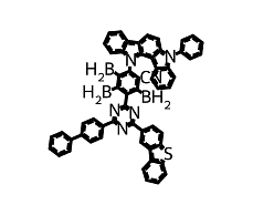 Bc1c(B)c(-n2c3ccccc3c3ccc4c(c5ccccc5n4-c4ccccc4)c32)c(C#N)c(B)c1-c1nc(-c2ccc(-c3ccccc3)cc2)nc(-c2ccc3sc4ccccc4c3c2)n1